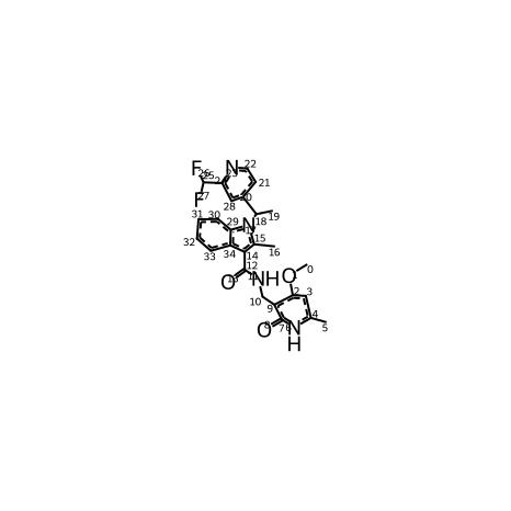 COc1cc(C)[nH]c(=O)c1CNC(=O)c1c(C)n(C(C)c2ccnc(C(F)F)c2)c2ccccc12